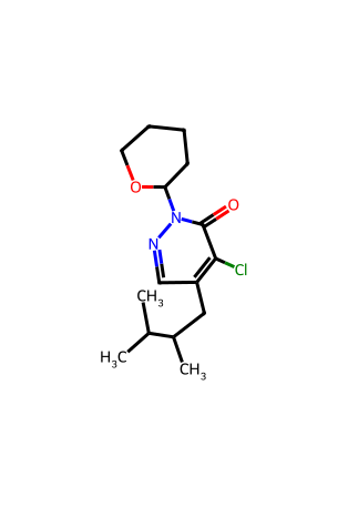 CC(C)C(C)Cc1cnn(C2CCCCO2)c(=O)c1Cl